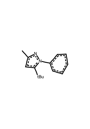 Cc1cc(C(C)(C)C)n(-c2ccccc2)n1